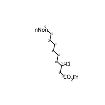 CCCCCCCCCCCCCCCC(Cl)CC(=O)OCC